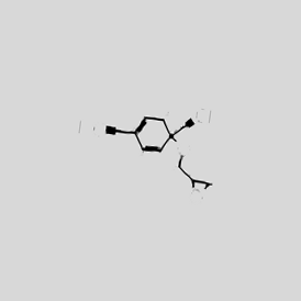 C#CC1=CCC(C#C)(OCC2CO2)C=C1